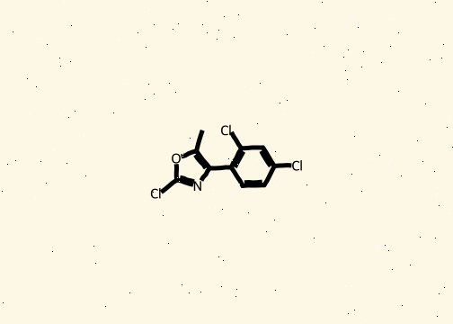 Cc1oc(Cl)nc1-c1ccc(Cl)cc1Cl